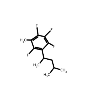 Cc1c(F)c(F)c(F)c(C(C)CC(C)C)c1F